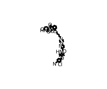 CC1(C)[C@H](NC(=O)c2ccc(N3CCN(CCCCCOc4cccc5c4S(=O)(=O)N(C4CCC(=O)NC4=O)C5=O)CC3)nc2)C(C)(C)[C@H]1Oc1ccc(C#N)c(Cl)c1